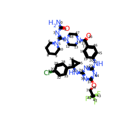 NC(=O)N=C(N1CCCCC1)N1CCN(C(=O)c2ccc(Nc3nc(NC4(c5ccc(Cl)cc5)CC4)nc(OCC(F)(F)F)n3)cc2)CC1